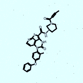 CC#CC(=O)N1CCC[C@@H](NC(=O)c2sc3nccc4c3c2NC(=O)N4c2ccc(Oc3ccccc3)cc2C)C1